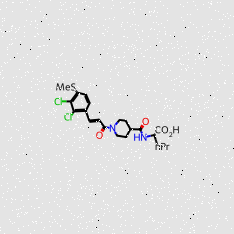 CCCC(NC(=O)C1CCN(C(=O)C=Cc2ccc(SC)c(Cl)c2Cl)CC1)C(=O)O